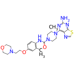 Cc1cc(OCCN2CCOCC2)ccc1NC(=O)N1CCN(c2nc(N)nc3scnc23)[C@@H](C)C1